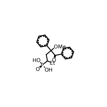 CCC(CC(OC)(C(=O)c1ccccc1)c1ccccc1)P(=O)(O)O